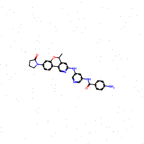 CC1Oc2cc(N3CCCC3=O)ccc2-c2cnc(Nc3cncc(NC(=O)c4ccc(N)cc4)c3)cc21